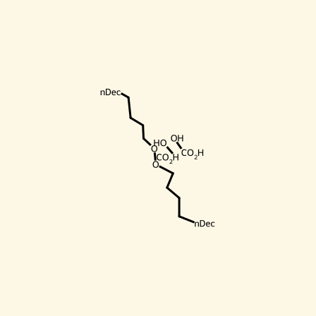 CCCCCCCCCCCCCCOOCCCCCCCCCCCCCC.O=C(O)O.O=C(O)O